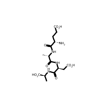 C[C@H](NC(=O)[C@H](CC(=O)O)NC(=O)[C@H](C)NC(=O)[C@@H](N)CCC(=O)O)C(=O)O